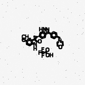 COc1ccc2c(c1)[C@]1(C[C@H]1c1ccc3c(-c4ccc(CN5CCOCC5)cc4)n[nH]c3c1)C(=O)N2.O=C(O)C(F)(F)F